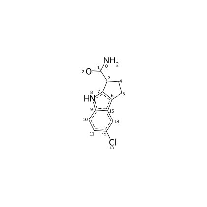 NC(=O)C1CCc2c1[nH]c1ccc(Cl)cc21